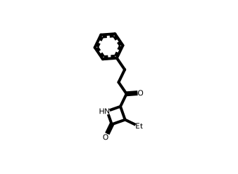 CCC1C(=O)NC1C(=O)CCc1ccccc1